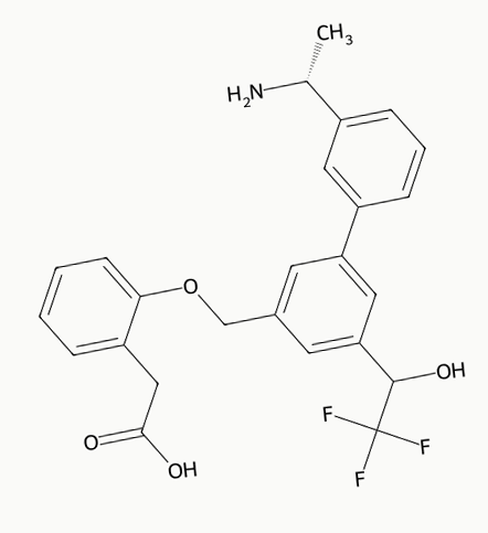 C[C@@H](N)c1cccc(-c2cc(COc3ccccc3CC(=O)O)cc(C(O)C(F)(F)F)c2)c1